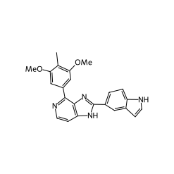 COc1cc(-c2nccc3[nH]c(-c4ccc5[nH]ccc5c4)nc23)cc(OC)c1C